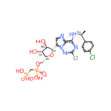 C[C@H](Nc1nc(Cl)nn2c([C@@H]3O[C@H](COP(=O)(O)CP(=O)(O)O)[C@@H](O)[C@H]3O)cnc12)c1ccc(Cl)cc1